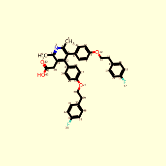 Cc1nc(C)c(-c2ccc(OCCc3ccc(F)cc3)cc2)c(-c2ccc(OCCc3ccc(F)cc3)cc2)c1CC(=O)O